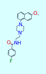 COc1ccc2c(N3CCN(CCNC(=O)c4ccc(F)cc4)CC3)cccc2c1